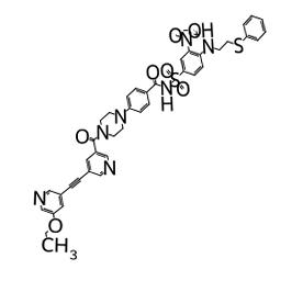 CCOc1cncc(C#Cc2cncc(C(=O)N3CCN(c4ccc(C(=O)NS(=O)(=O)c5ccc(NCCSc6ccccc6)c([N+](=O)[O-])c5)cc4)CC3)c2)c1